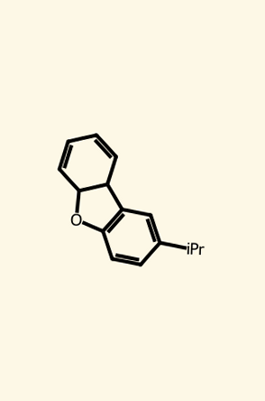 CC(C)c1ccc2c(c1)C1C=CC=CC1O2